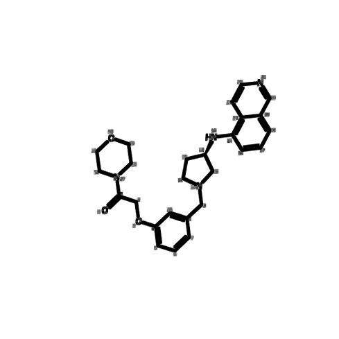 O=C(COc1cccc(CN2CC[C@@H](Nc3cccc4cnccc34)C2)c1)N1CCOCC1